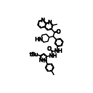 Cc1ccc(-n2nc(C(C)(C)C)cc2NC(=O)Nc2cccc(C(C(=O)c3cc4cccnc4nc3C)C3CCNCC3)c2)cc1